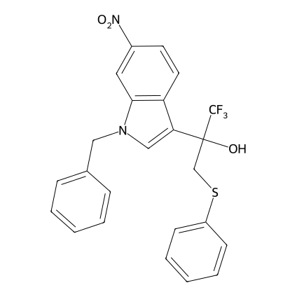 O=[N+]([O-])c1ccc2c(C(O)(CSc3ccccc3)C(F)(F)F)cn(Cc3ccccc3)c2c1